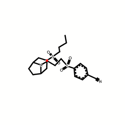 CCCCS(=O)(=O)N1CC2CCC(C1)N2CCCS(=O)(=O)c1ccc(C#N)cc1